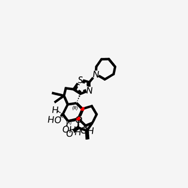 C=C1C(=O)[C@@]23C(CCC1[C@H]2O)[C@@]12CO[C@@]3(O)[C@@H](O)C1C(C)(C)Cc1sc(N3CCCCCC3)nc12